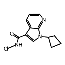 O=C(NCl)c1cn(C2CCC2)c2ncccc12